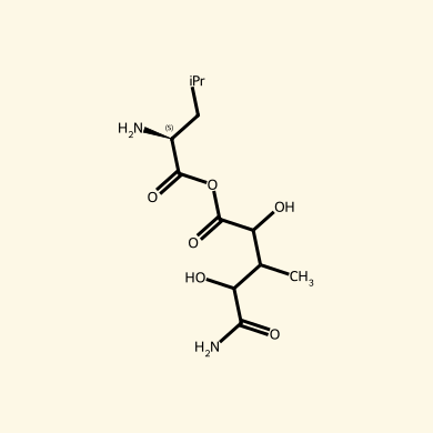 CC(C)C[C@H](N)C(=O)OC(=O)C(O)C(C)C(O)C(N)=O